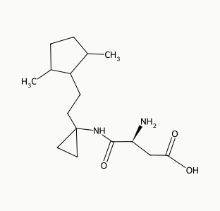 CC1CCC(C)C1CCC1(NC(=O)[C@@H](N)CC(=O)O)CC1